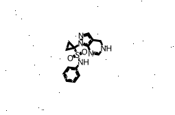 O=S(=O)(Nc1ccccc1)C1(n2ncc3c2N=CNC3)CC1